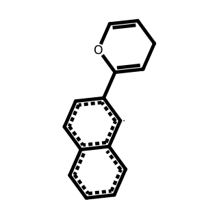 [c]1c(C2=CCC=CO2)ccc2ccccc12